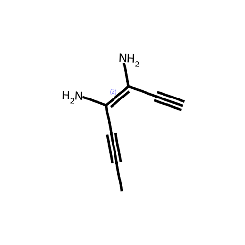 C#C/C(N)=C(/N)C#CC